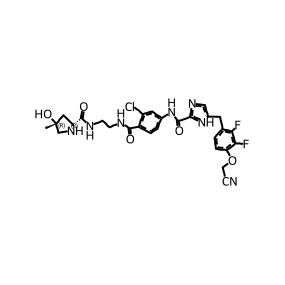 C[C@]1(O)CN[C@@H](C(=O)NCCNC(=O)c2ccc(NC(=O)c3ncc(Cc4ccc(OCC#N)c(F)c4F)[nH]3)cc2Cl)C1